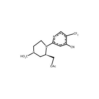 CC(=O)OC[C@H]1CN(C(=O)O)CCN1c1cc(C#N)c(C(F)(F)F)cn1